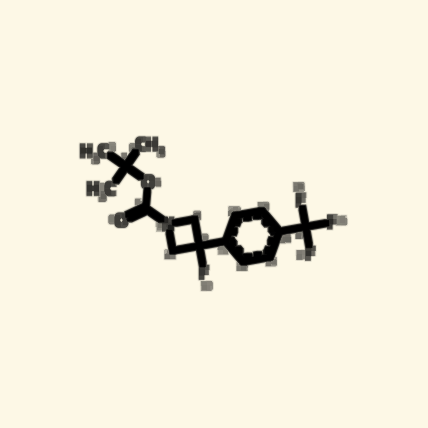 CC(C)(C)OC(=O)N1CC(F)(c2ccc(C(F)(F)F)cc2)C1